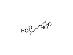 CC(=CC=CC=CC=C(C)C(=O)O)C(=O)O